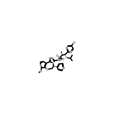 COc1nccc2c1OC[C@H](c1ccncc1)n1c(NS(=O)(=O)[C@@H](C)[C@@H](OC(C)C)c3ncc(Cl)cn3)nnc1-2